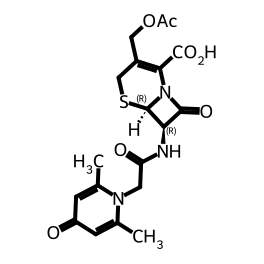 CC(=O)OCC1=C(C(=O)O)N2C(=O)[C@@H](NC(=O)Cn3c(C)cc(=O)cc3C)[C@H]2SC1